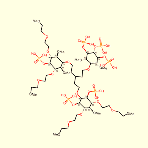 COCCOCCO[C@@H]1[C@@H](OC)[C@H](OCCOCCOC)[C@@H](OP(=O)(O)O)[C@@H](OCCC(CCOC2[C@@H](OC)[C@H](OP(=O)(O)O)[C@@H](OP(=O)(O)O)[C@H](OP(=O)(O)O)[C@H]2OC)CCO[C@H]2[C@@H](OC)[C@H](OCCOCCOC)[C@@H](OP(=O)(O)O)[C@H](OCCOCCOC)[C@H]2OC)[C@H]1OP(=O)(O)O